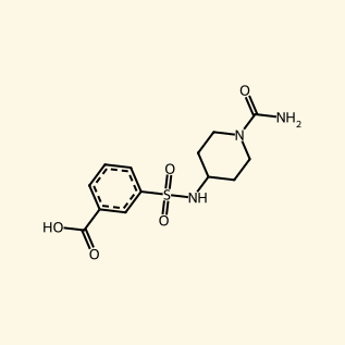 NC(=O)N1CCC(NS(=O)(=O)c2cccc(C(=O)O)c2)CC1